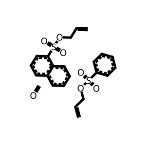 C=CCOS(=O)(=O)c1cccc2ccccc12.C=CCOS(=O)(=O)c1ccccc1.C=O